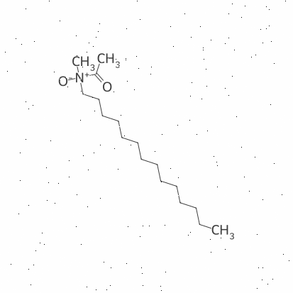 CCCCCCCCCCCCCC[N+](C)([O-])C(C)=O